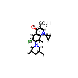 Cc1c(N2CC(C)CC(C)C2)c(F)cc2c(=O)c(C(=O)O)cn(C3CC3)c12